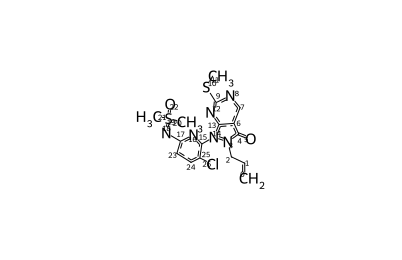 C=CCn1c(=O)c2cnc(SC)nc2n1-c1nc(N=S(C)(C)=O)ccc1Cl